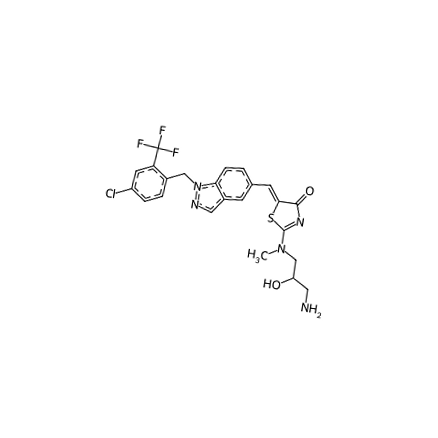 CN(CC(O)CN)C1=NC(=O)C(=Cc2ccc3c(cnn3Cc3ccc(Cl)cc3C(F)(F)F)c2)S1